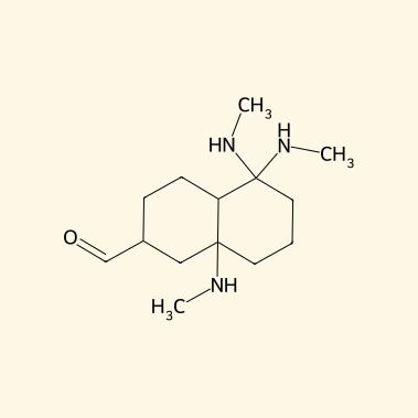 CNC12CCCC(NC)(NC)C1CCC(C=O)C2